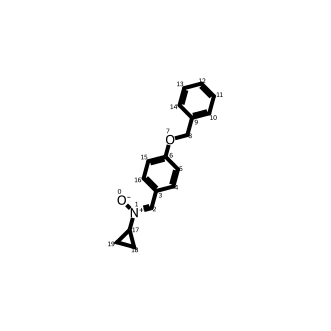 [O-][N+](=Cc1ccc(OCc2ccccc2)cc1)C1CC1